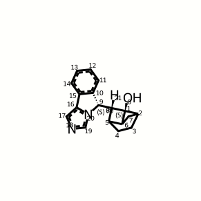 O[C@@]12C3CCC(C1C3)[C@@H]2[C@H]1c2ccccc2-c2cncn21